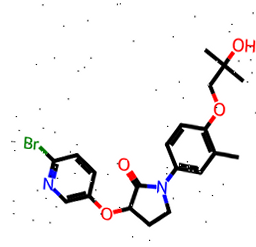 Cc1cc(N2CCC(Oc3ccc(Br)nc3)C2=O)ccc1OCC(C)(C)O